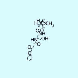 C[Si](C)(C)CCOC(=O)NC[C@@H](CO)NC(=O)CCC(=O)COc1ccccc1